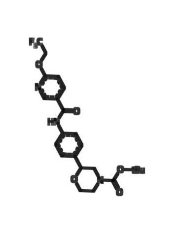 CC(C)(C)OC(=O)N1CCOC(c2ccc(NC(=O)c3ccc(OCC(F)(F)F)nc3)cc2)C1